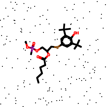 CCCCCC(=O)OC(COP(C)(=O)OC)CSc1cc(C(C)(C)C)c(O)c(C(C)(C)C)c1